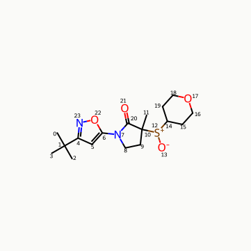 CC(C)(C)c1cc(N2CCC(C)([S+]([O-])C3CCOCC3)C2=O)on1